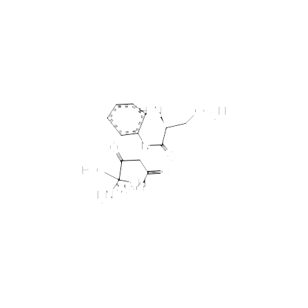 COC(=O)[C@H](C(=O)C(C)(C)N)N(C(=O)[C@@H](N)CC(=O)O)c1ccccc1